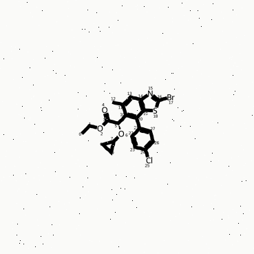 CCOC(=O)[C@@H](OC1CC1)c1c(C)cc2nc(Br)sc2c1-c1ccc(Cl)cc1